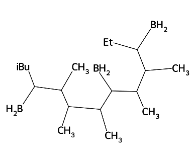 BC(CC)C(C)C(C)C(B)C(C)C(C)C(C)C(B)C(C)CC